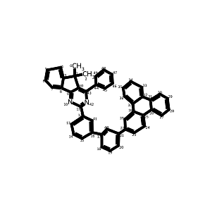 CC1(C)c2ccccc2-c2nc(-c3cccc(-c4cccc(-c5ccc6c7ccccc7c7ccccc7c6c5)c4)c3)nc(-c3ccccc3)c21